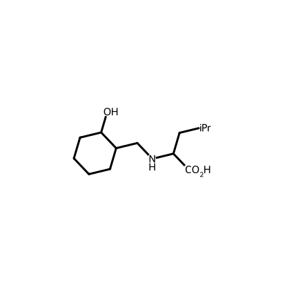 CC(C)CC(NCC1CCCCC1O)C(=O)O